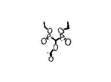 CCO[P](=O)C(O[C]=O)[P](=O)OCC